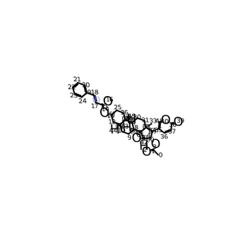 CC(=O)O[C@H]1[C@H]2O[C@]23[C@@H]2CC[C@@H]4C[C@@H](OC(=O)/C=C/c5ccccc5)CC[C@]4(C)[C@H]2CC[C@]3(C)[C@H]1c1ccc(=O)oc1